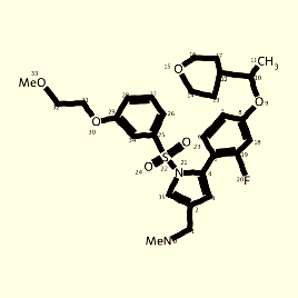 CNCc1cc(-c2ccc(OC(C)C3CCOCC3)cc2F)n(S(=O)(=O)c2cccc(OCCOC)c2)c1